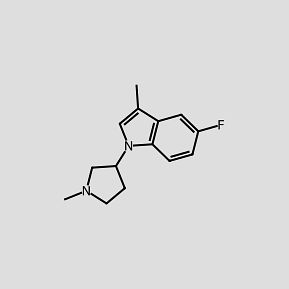 Cc1cn(C2CCN(C)C2)c2ccc(F)cc12